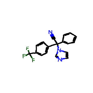 N#CC(c1ccccc1)(c1ccc(C(F)(F)F)cc1)n1ccnc1